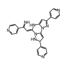 N=C(/C=C1\Nc2cc(-c3ccncc3)nn2C2=CC(c3ccncc3)NN21)c1ccncc1